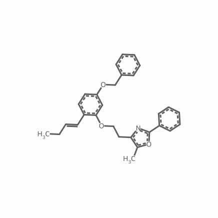 CCC=Cc1ccc(OCc2ccccc2)cc1OCCc1nc(-c2ccccc2)oc1C